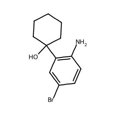 Nc1ccc(Br)cc1C1(O)CCCCC1